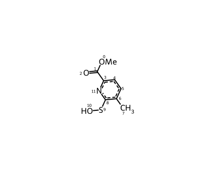 COC(=O)c1ccc(C)c(SO)n1